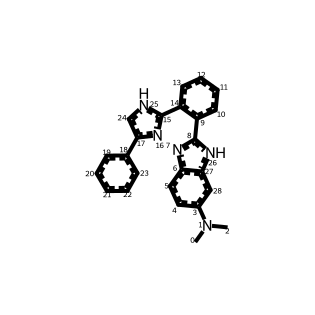 CN(C)c1ccc2nc(-c3ccccc3-c3nc(-c4ccccc4)c[nH]3)[nH]c2c1